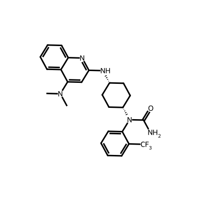 CN(C)c1cc(N[C@H]2CC[C@@H](N(C(N)=O)c3ccccc3C(F)(F)F)CC2)nc2ccccc12